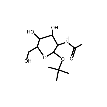 CC(=O)NC1C(OC(C)(C)C)OC(CO)C(O)C1O